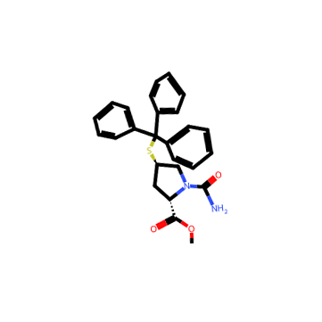 COC(=O)[C@@H]1C[C@@H](SC(c2ccccc2)(c2ccccc2)c2ccccc2)CN1C(N)=O